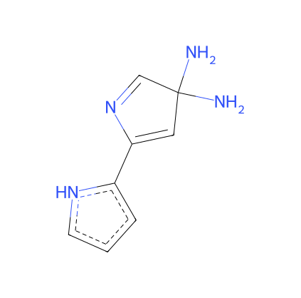 NC1(N)C=NC(c2ccc[nH]2)=C1